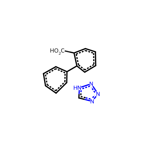 O=C(O)c1ccccc1-c1ccccc1.c1nnn[nH]1